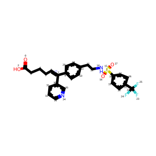 O=C(O)CCC/C=C(/c1ccc(CCNS(=O)(=O)c2ccc(C(F)(F)F)cc2)cc1)c1cccnc1